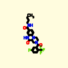 CCCCNC(=O)c1ccc2c(c1)NC(=O)C1CN(C(=O)c3cc(F)ccc3C(F)(F)F)CCN21